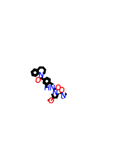 CO[C@@H]1C[C@@H](C(=O)N(C)C)N(C(=O)NCc2ccc(C(=O)N3CCCCc4ccccc43)cc2C)C1